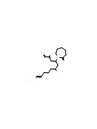 CC=CCCCC(C)CC(CC(C)C=O)N1CCCCCC1=O